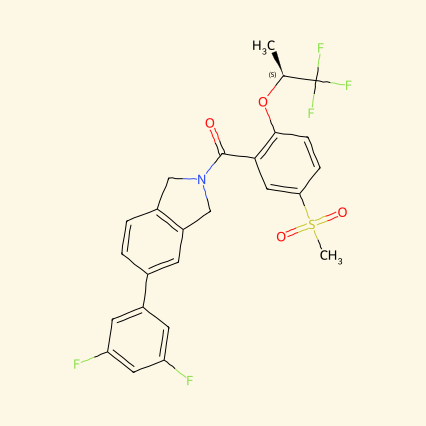 C[C@H](Oc1ccc(S(C)(=O)=O)cc1C(=O)N1Cc2ccc(-c3cc(F)cc(F)c3)cc2C1)C(F)(F)F